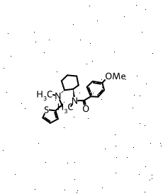 COc1ccc(C(=O)N(C)[C@@H]2CCCC[C@H]2N(C)Cc2cccs2)cc1